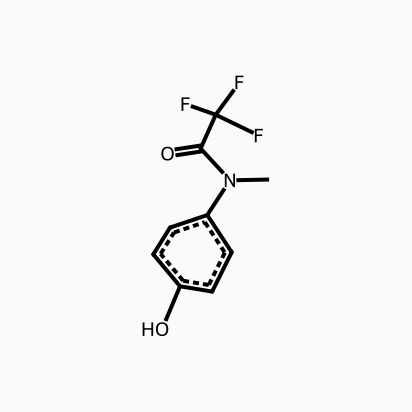 CN(C(=O)C(F)(F)F)c1ccc(O)cc1